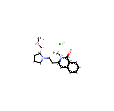 COC[C@H]1CCCN1CCc1cc2ccccc2c(=O)n1C.Cl